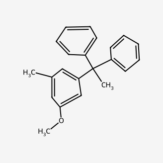 COc1cc(C)cc(C(C)(c2ccccc2)c2ccccc2)c1